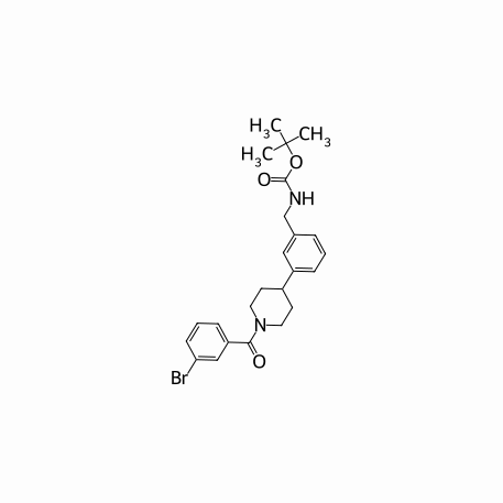 CC(C)(C)OC(=O)NCc1cccc(C2CCN(C(=O)c3cccc(Br)c3)CC2)c1